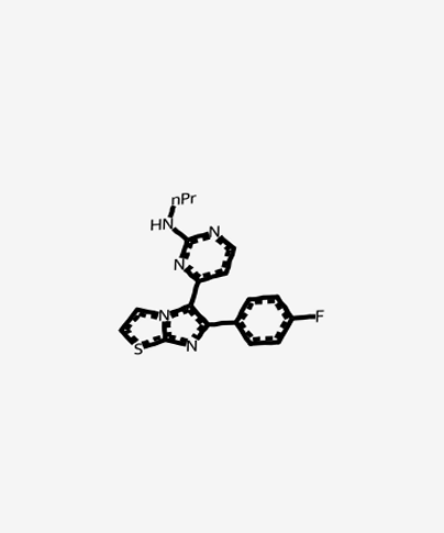 CCCNc1nccc(-c2c(-c3ccc(F)cc3)nc3sccn23)n1